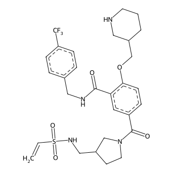 C=CS(=O)(=O)NCC1CCN(C(=O)c2ccc(OCC3CCCNC3)c(C(=O)NCc3ccc(C(F)(F)F)cc3)c2)C1